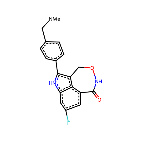 CNCc1ccc(-c2[nH]c3cc(F)cc4c3c2CONC4=O)cc1